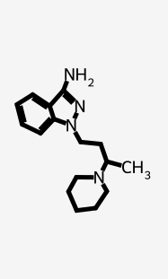 CC(CCn1nc(N)c2ccccc21)N1CCCCC1